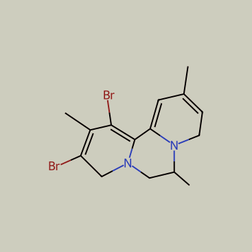 CC1=CCN2C(=C1)C1=C(Br)C(C)=C(Br)CN1CC2C